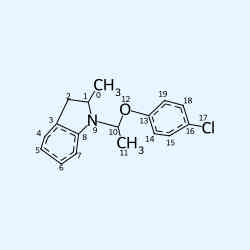 CC1Cc2ccccc2N1C(C)Oc1ccc(Cl)cc1